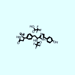 O=C(O)C(F)(F)F.O=C1CC(c2ccc(CC(NC(=O)C(F)(F)F)c3ncc(-c4ccc(O)cc4)[nH]3)cc2)S(=O)(=O)N1